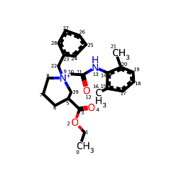 CCOC(=O)C1CCC[N+](CC(=O)Nc2c(C)cccc2C)(Cc2ccccc2)C1